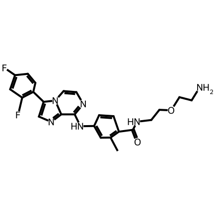 Cc1cc(Nc2nccn3c(-c4ccc(F)cc4F)cnc23)ccc1C(=O)NCCOCCN